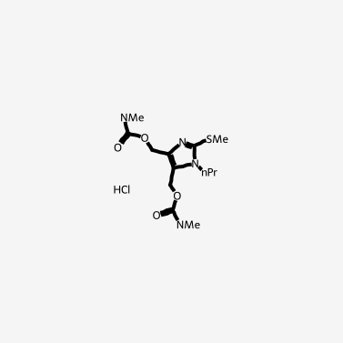 CCCn1c(SC)nc(COC(=O)NC)c1COC(=O)NC.Cl